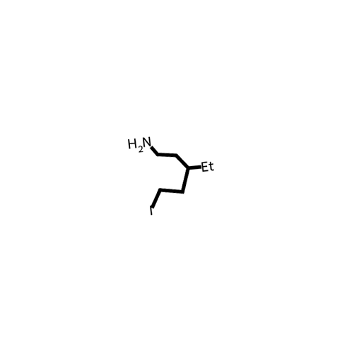 CCC(CCN)CCI